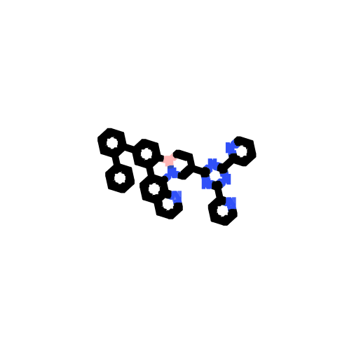 C1=CC(c2nc(-c3ccccn3)nc(-c3ccccn3)n2)=CN2B1c1ccc(-c3ccccc3-c3ccccc3)cc1-c1ccc3cccnc3c12